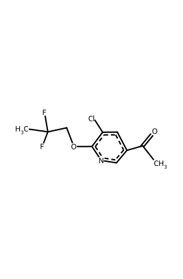 CC(=O)c1cnc(OCC(C)(F)F)c(Cl)c1